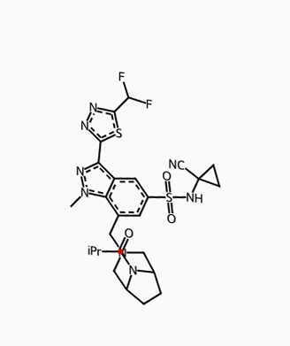 CC(C)C(=O)N1C2CCC1CN(Cc1cc(S(=O)(=O)NC3(C#N)CC3)cc3c(-c4nnc(C(F)F)s4)nn(C)c13)C2